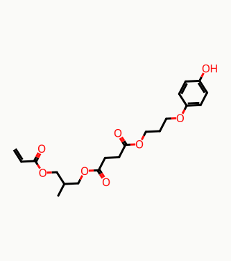 C=CC(=O)OCC(C)COC(=O)CCC(=O)OCCCOc1ccc(O)cc1